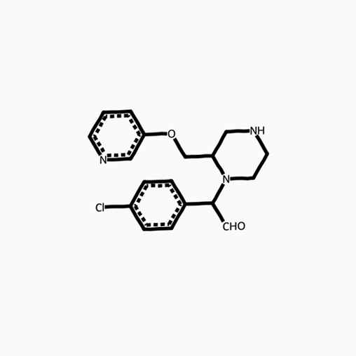 O=CC(c1ccc(Cl)cc1)N1CCNCC1COc1cccnc1